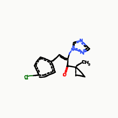 CC1(C(=O)/C(=C\c2ccc(Cl)cc2)n2cncn2)CC1